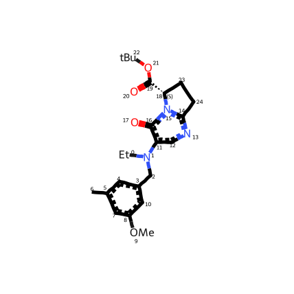 CCN(Cc1cc(C)cc(OC)c1)c1cnc2n(c1=O)[C@H](C(=O)OC(C)(C)C)CC2